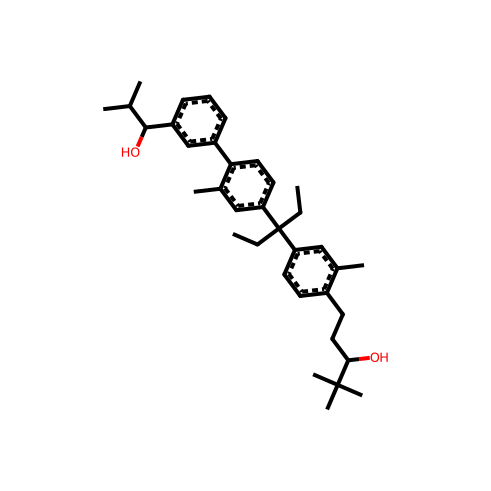 CCC(CC)(c1ccc(CCC(O)C(C)(C)C)c(C)c1)c1ccc(-c2cccc(C(O)C(C)C)c2)c(C)c1